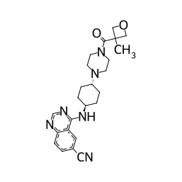 CC1(C(=O)N2CCN([C@H]3CC[C@H](Nc4ncnc5ccc(C#N)cc45)CC3)CC2)COC1